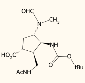 CC(=O)NC[C@@H]1[C@H](NC(=O)OC(C)(C)C)[C@@H](N(C)C=O)C[C@H]1C(=O)O